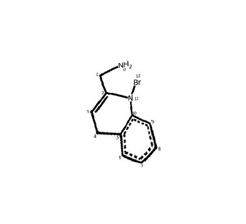 NCC1=CCc2ccccc2N1Br